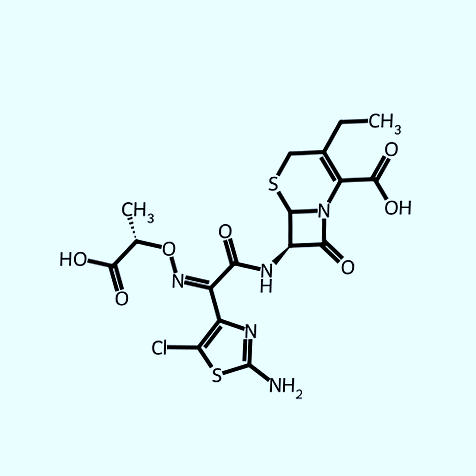 CCC1=C(C(=O)O)N2C(=O)[C@@H](NC(=O)/C(=N\O[C@@H](C)C(=O)O)c3nc(N)sc3Cl)C2SC1